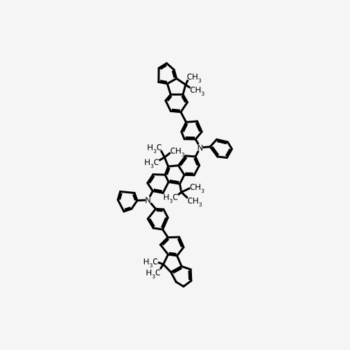 CC(C)(C)c1c2ccc(N(c3ccccc3)c3ccc(-c4ccc5c(c4)C(C)(C)c4ccccc4-5)cc3)cc2c(C(C)(C)C)c2ccc(N(c3ccccc3)c3ccc(-c4ccc5c(c4)C(C)(C)C4=C5C=CCC4)cc3)cc12